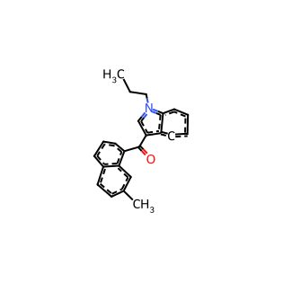 CCCn1cc(C(=O)c2cccc3ccc(C)cc23)c2ccccc21